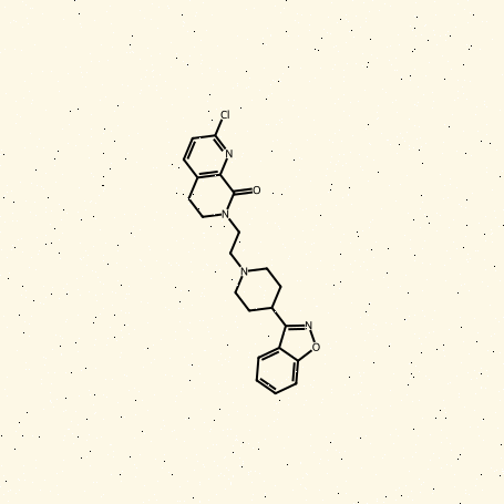 O=C1c2nc(Cl)ccc2CCN1CCN1CCC(c2noc3ccccc23)CC1